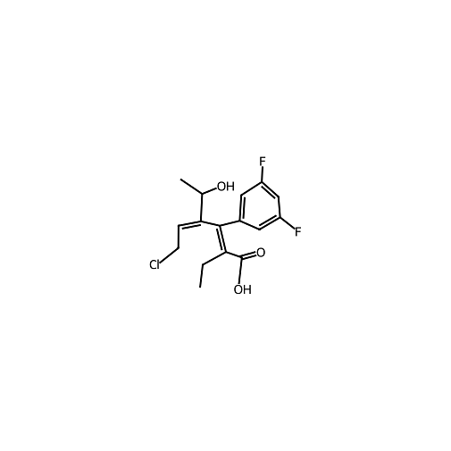 CC/C(C(=O)O)=C(\C(=C/CCl)C(C)O)c1cc(F)cc(F)c1